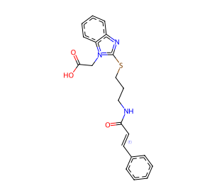 O=C(O)Cn1c(SCCCNC(=O)/C=C/c2ccccc2)nc2ccccc21